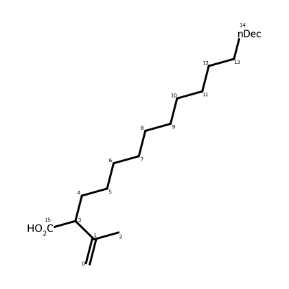 C=C(C)C(CCCCCCCCCCCCCCCCCCCC)C(=O)O